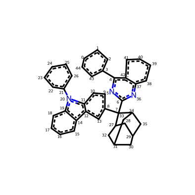 c1ccc(-c2nc(C3(c4ccc5c(c4)c4ccccc4n5-c4ccccc4)C4CC5CC(C4)CC3C5)nc3ccccc23)cc1